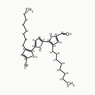 CCCCCCCCc1cc(Br)sc1-c1ccc(-c2sc(C=O)cc2CCCCCCCC)s1